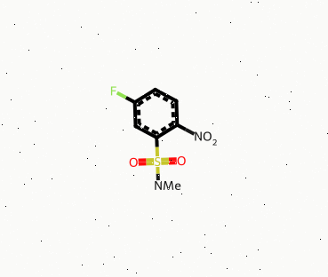 CNS(=O)(=O)c1cc(F)ccc1[N+](=O)[O-]